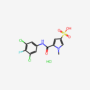 Cl.Cn1cc(S(=O)(=O)O)cc1C(=O)Nc1cc(Cl)c(F)c(Cl)c1